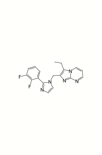 CCc1c(Cn2ccnc2-c2cccc(F)c2F)nc2ncccn12